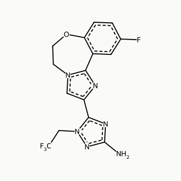 Nc1nc(-c2cn3c(n2)-c2cc(F)ccc2OCC3)n(CC(F)(F)F)n1